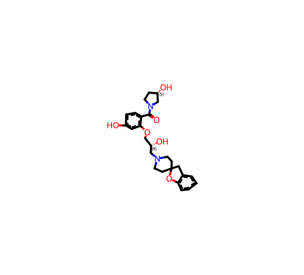 O=C(c1ccc(O)cc1OC[C@H](O)CN1CCC2(CC1)Cc1ccccc1O2)N1CC[C@H](O)C1